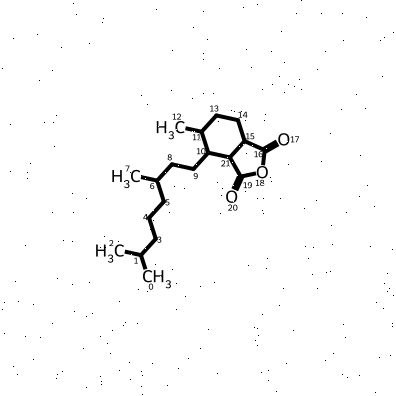 CC(C)CCCC(C)CCC1C(C)CCC2C(=O)OC(=O)C21